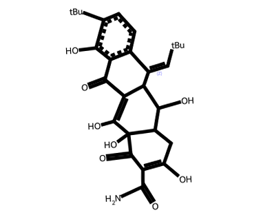 CC(C)(C)/C=C1\c2ccc(C(C)(C)C)c(O)c2C(=O)C2=C(O)C3(O)C(=O)C(C(N)=O)=C(O)CC3C(O)C21